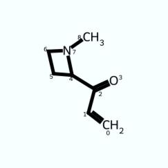 C=CC(=O)C1CCN1C